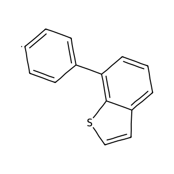 [c]1ccc(-c2cccc3ccsc23)cc1